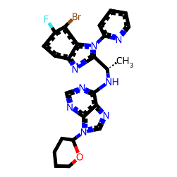 C[C@H](Nc1ncnc2c1ncn2C1CCCCO1)c1nc2ccc(F)c(Br)c2n1-c1ccccn1